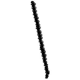 S=C=S=S=S=S=S=S=S=S=S=S=S=S=S=S=S=S=S=S=S=S=S=S=S=S=S=S=S=S=S=S=S=S=S=S=S=S=S=S=S=S=S=S